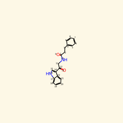 O=C(CCc1ccccc1)NCC(=O)c1c[nH]c2ccccc12